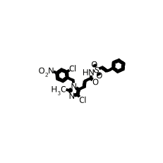 Cc1nc(Cl)c(C=CC(=O)NS(=O)(=O)C=Cc2ccccc2)n1Cc1ccc([N+](=O)[O-])cc1Cl